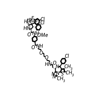 COc1cc(C(=O)NCCOCCOCCNC(=O)C[C@@H]2N=C(c3ccc(Cl)cc3)c3c(sc(C)c3C)-n3c(C)nnc32)ccc1NC(=O)[C@H]1N[C@H](CC(C)(C)C)[C@@](C)(c2ccc(Cl)cc2F)[C@@H]1c1cccc(Cl)c1F